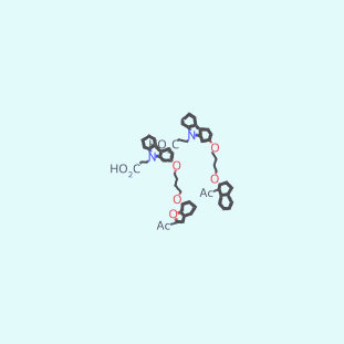 CC(=O)c1c(OCCCCOc2ccc3c4ccccc4n(CCC(=O)O)c3c2)ccc2ccccc12.CC(=O)c1cc2cccc(OCCCCOc3ccc4c5ccccc5n(CCC(=O)O)c4c3)c2o1